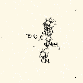 CCOC(=O)CN(c1cnc2c(c1)nc(CCc1ccc(C#N)cc1)n2C)S(=O)(=O)c1cccc2cccnc12